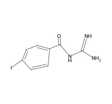 N=C(N)NC(=O)c1ccc(I)cc1